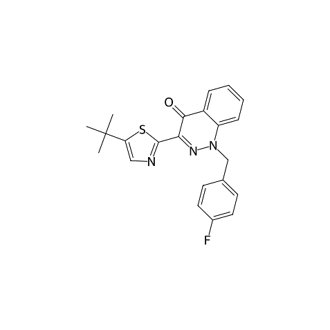 CC(C)(C)c1cnc(-c2nn(Cc3ccc(F)cc3)c3ccccc3c2=O)s1